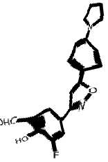 O=Cc1cc(-c2cc(-c3ccc(N4CCCC4)cc3)on2)cc(F)c1O